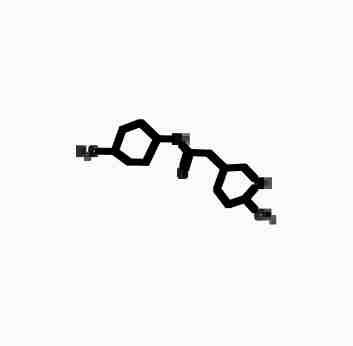 CC1CCC(NC(=O)CC2CCC(C)NC2)CC1